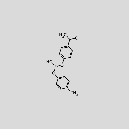 Cc1ccc(OP(O)Oc2ccc(C(C)C)cc2)cc1